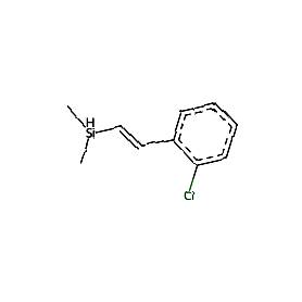 C[SiH](C)C=Cc1ccccc1Cl